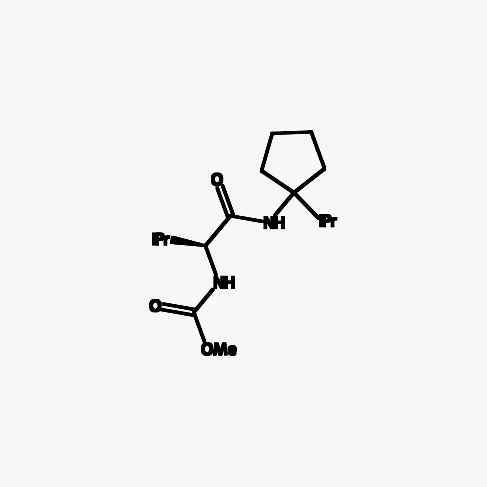 COC(=O)N[C@H](C(=O)NC1(C(C)C)CCCC1)C(C)C